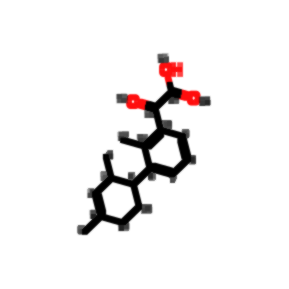 CC1=CC(C)C(c2cccc(C(=O)C(=O)O)c2C)CC1